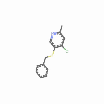 Cc1cc(Cl)c(SCc2ccccc2)cn1